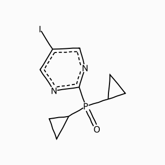 O=P(c1ncc(I)cn1)(C1CC1)C1CC1